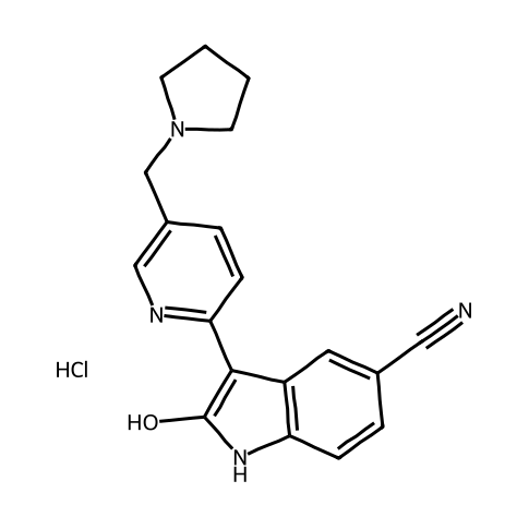 Cl.N#Cc1ccc2[nH]c(O)c(-c3ccc(CN4CCCC4)cn3)c2c1